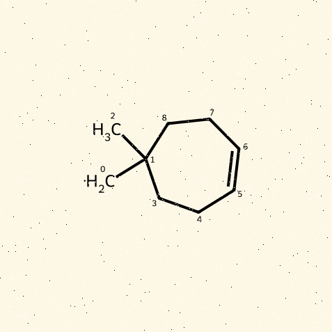 [CH2]C1(C)CCC=CCC1